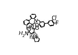 CCC[C@H](C(N)=O)[C@@H](CC1CCCC1)C(=O)N[C@@H]1C(=O)N(Cc2cccc(-c3ccc(F)c(Cl)c3)c2)c2ccccc2-c2ccccc21